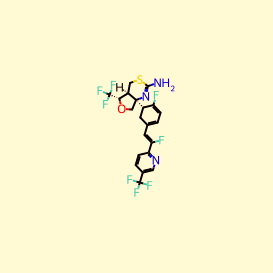 NC1=N[C@@]2(C3CC(/C=C(\F)c4ccc(C(F)(F)F)cn4)=CC=C3F)CO[C@H](C(F)(F)F)[C@H]2CS1